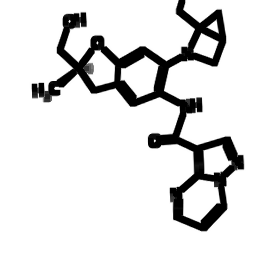 C[C@]1(CO)Cc2cc(NC(=O)c3cnn4cccnc34)c(N3CC4CC43CO)cc2O1